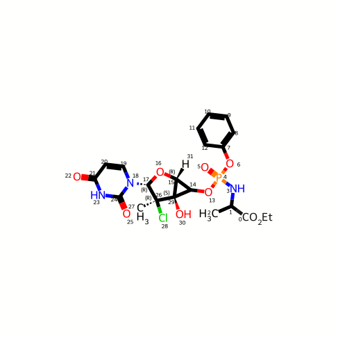 CCOC(=O)C(C)NP(=O)(Oc1ccccc1)OC1[C@H]2O[C@@H](n3ccc(=O)[nH]c3=O)[C@](C)(Cl)[C@@]12O